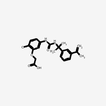 C=C(C)c1cccc(C(C)(C)NC(=O)Nc2ccc(Cl)c(OCC(=O)O)c2)c1